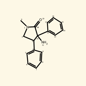 CN1CC(c2ccccc2)C(N)(c2ccccc2)C1=O